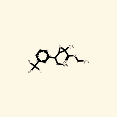 CCOC(=O)C1(C)OC1C(CC)c1cccc(C(F)(F)F)c1